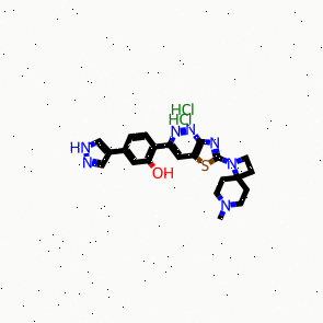 CN1CCC2(CC1)CCN2c1nc2nnc(-c3ccc(-c4cn[nH]c4)cc3O)cc2s1.Cl.Cl